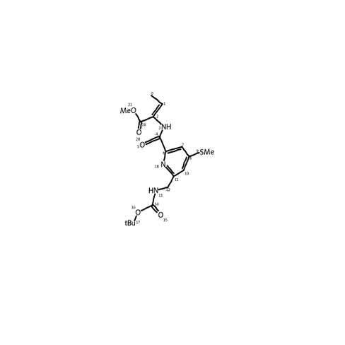 C/C=C(/NC(=O)c1cc(SC)cc(CNC(=O)OC(C)(C)C)n1)C(=O)OC